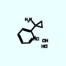 Cl.Cl.Cl.NC1(c2ccccn2)CC1